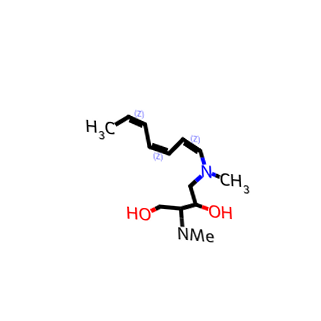 C\C=C/C=C\C=C/N(C)CC(O)C(CO)NC